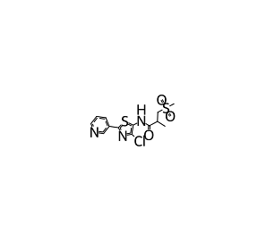 CC(CS(C)(=O)=O)C(=O)Nc1sc(-c2cccnc2)nc1Cl